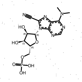 CN(C)c1ncnc2c1nc(C#N)n2[C@@H]1O[C@H](COP(=O)(O)O)[C@@H](O)[C@H]1O